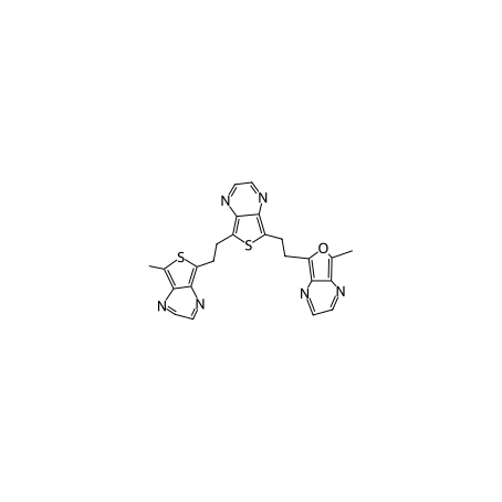 Cc1oc(CCc2sc(CCc3sc(C)c4nccnc34)c3nccnc23)c2nccnc12